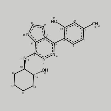 Cc1ccc(-c2nnc(N[C@@H]3CCCC[C@H]3O)c3nccn23)c(O)c1